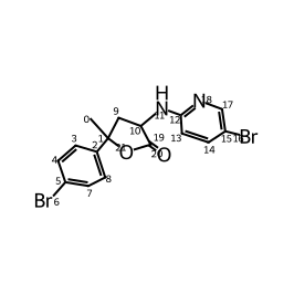 CC1(c2ccc(Br)cc2)CC(Nc2ccc(Br)cn2)C(=O)O1